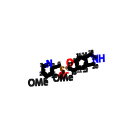 COc1ccnc(C[S+]([O-])C2Cc3cc4c(cc3O2)CNC4)c1OC